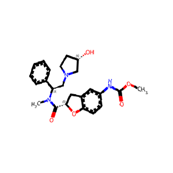 COC(=O)Nc1ccc2c(c1)C[C@@H](C(=O)N(C)[C@H](CN1CC[C@H](O)C1)c1ccccc1)O2